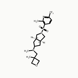 Cc1nc(C(F)(F)F)ccc1S(=O)(=O)N1C[C@H]2CC(N(C)CC3(C)COC3)C[C@H]2C1